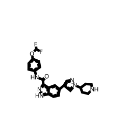 O=C(Nc1ccc(OC(F)F)cc1)c1n[nH]c2ccc(-c3cnn(C4CCNCC4)c3)cc12